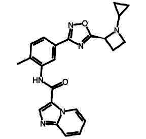 Cc1ccc(-c2noc([C@@H]3CCN3C3CC3)n2)cc1NC(=O)c1cnc2ccccn12